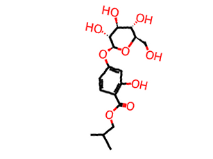 CC(C)COC(=O)c1ccc(O[C@@H]2O[C@H](CO)[C@@H](O)[C@H](O)[C@H]2O)cc1O